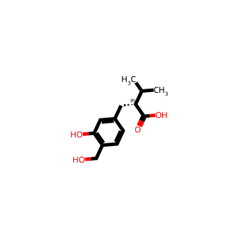 CC(C)[C@@H](Cc1ccc(CO)c(O)c1)C(=O)O